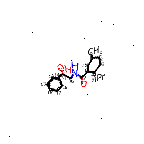 CC1CCC(C(C)C)C(C(=O)NC[C@@H](O)c2ccccc2)C1